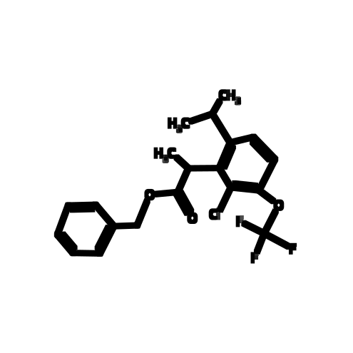 CC(C)c1ccc(OC(F)(F)F)c(Cl)c1C(C)C(=O)OCc1ccccc1